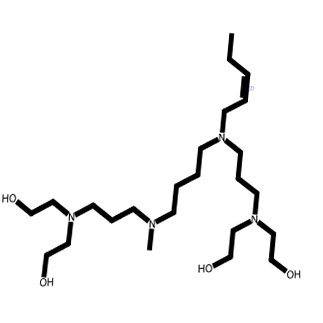 CC/C=C\CN(CCCCN(C)CCCN(CCO)CCO)CCCN(CCO)CCO